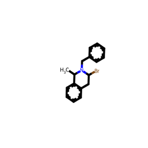 CC1c2ccccc2CC(Br)N1Cc1ccccc1